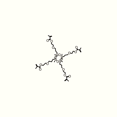 C=C(C)C(=O)OCCOCCC[Si]1(C)O[Si](C)(CCCOCCOC(=O)C(=C)C)O[Si](C)(CCCOCCOC(=O)C(=C)C)O[Si](C)(CCCOCCOC(=O)C(=C)C)O1